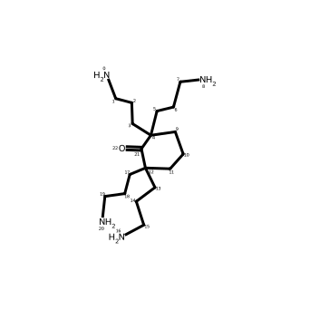 NCCCC1(CCCN)CCCC(CCCN)(CCCN)C1=O